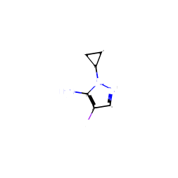 Nc1c(I)cnn1C1CC1